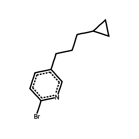 Brc1ccc(CCCC2CC2)cn1